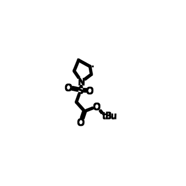 CC(C)(C)OC(=O)CS(=O)(=O)N1C[CH]CC1